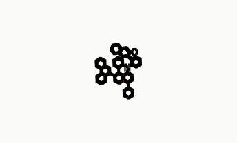 c1ccc(-c2ccc(N(c3ccccc3-c3ccccc3-c3cc4ccccc4c4ccccc34)c3cccc4oc5cc6ccccc6cc5c34)cc2)cc1